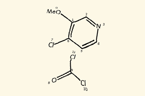 COc1cnccc1Cl.O=C(Cl)Cl